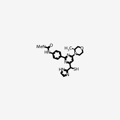 CNC(=O)Nc1ccc(-c2nc(C(S)c3ncc[nH]3)cc(N3CCOC[C@@H]3C)n2)cc1